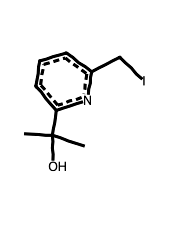 CC(C)(O)c1cccc(CI)n1